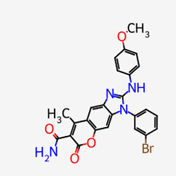 COc1ccc(Nc2nc3cc4c(C)c(C(N)=O)c(=O)oc4cc3n2-c2cccc(Br)c2)cc1